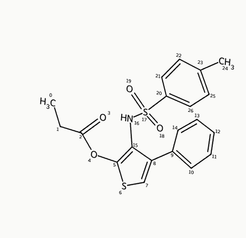 CCC(=O)Oc1scc(-c2ccccc2)c1NS(=O)(=O)c1ccc(C)cc1